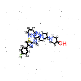 CCC1(N2CCC(N3CCC(O)CC3)C2)N=C2C=CC=NN2C1N(C)c1nc(-c2ccc(F)cc2)cs1